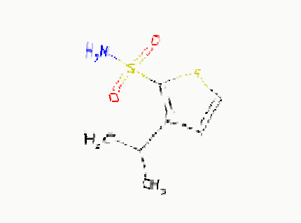 CC(C)c1ccsc1S(N)(=O)=O